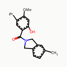 COc1cc(O)c(C(=O)N2Cc3ccc(C)cc3C2)cc1C(C)C